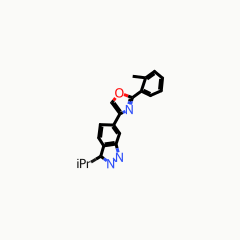 Cc1ccccc1-c1nc(-c2ccc3c(c2)N=NC3C(C)C)co1